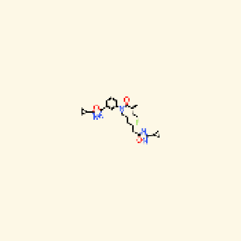 C=C(CCF)C(=O)N(CCCCCc1nc(C2CC2)no1)c1cccc(-c2nnc(C3CC3)o2)c1